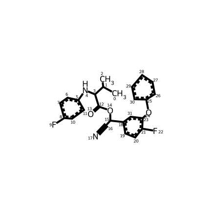 CC(C)C(Nc1ccc(F)cc1)C(=O)OC(C#N)c1ccc(F)c(Oc2ccccc2)c1